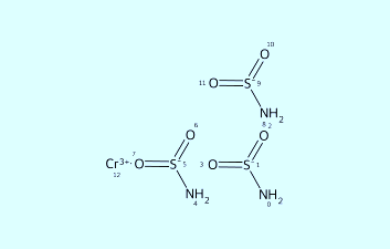 N[S-](=O)=O.N[S-](=O)=O.N[S-](=O)=O.[Cr+3]